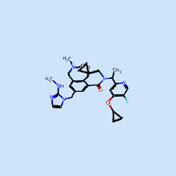 CNc1nccn1Cc1cc(CN(C)C)c2c(c1)C(=O)N(C(C)c1cc(OC3CC3)c(F)cn1)CC21CC1